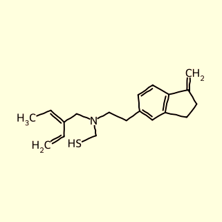 C=C/C(=C\C)CN(CS)CCc1ccc2c(c1)CCC2=C